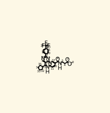 COC(=O)CCNC(=O)c1ccc(NC(c2cnc(-c3ccc(C(F)(F)F)cc3)nc2)C2CCCC2)nc1